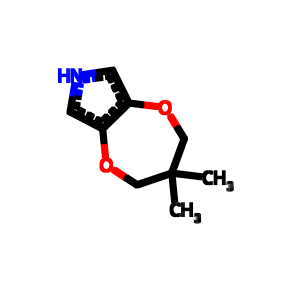 CC1(C)COc2c[nH]cc2OC1